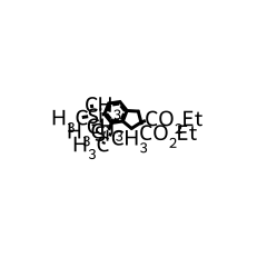 CCOC(=O)C1(C(=O)OCC)Cc2ccc([Si](C)(C)C)c([Si](C)(C)C)c2C1